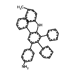 Cc1ccc(Nc2c(-c3ccccc3)cc(-c3ccc(N)cc3)c(-c3ccccc3)c2-c2ccccc2)cc1